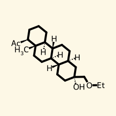 CCOC[C@@]1(O)CC[C@H]2[C@@H](CC[C@@H]3[C@@H]2CC[C@]2(C)[C@@H](C(C)=O)CCC[C@@H]32)C1